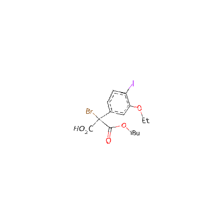 CCOc1cc(C(Br)(C(=O)O)C(=O)OC(C)CC)ccc1I